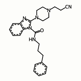 N#CCCN1CCN(c2nc3ccccc3n2C(=O)NCCCc2ccccc2)CC1